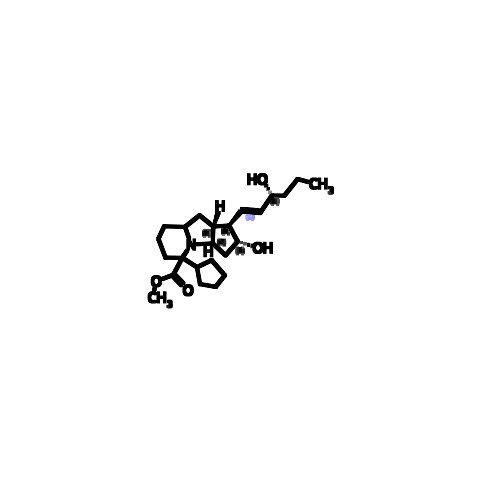 CCC[C@@H](O)/C=C/[C@@H]1[C@H]2CC3CCCC(C(=O)OC)(C4CCCC4)N3[C@@H]2C[C@H]1O